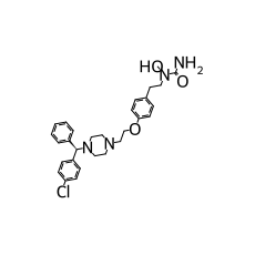 NC(=O)N(O)CCc1ccc(OCCN2CCN([C@H](c3ccccc3)c3ccc(Cl)cc3)CC2)cc1